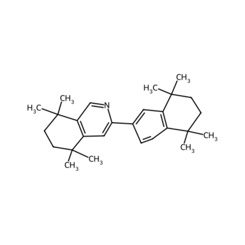 CC1(C)CCC(C)(C)c2cc(-c3cc4c(cn3)C(C)(C)CCC4(C)C)ccc21